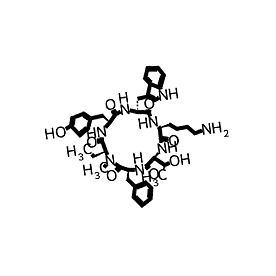 CC[C@H]1C(=O)N[C@@H](Cc2ccc(O)cc2)C(=O)N[C@H](Cc2c[nH]c3ccccc23)C(=O)N[C@@H](CCCCN)C(=O)N[C@@H]([C@@H](C)O)C(=O)N[C@@H](Cc2ccccc2)C(=O)N1C